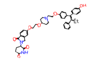 CCC(=C(c1ccc(O)cc1)c1ccc(OCCN2CCC(OCCOc3ccc4c(c3)CN(C3CCC(=O)NC3=O)C4=O)CC2)cc1)c1ccccc1